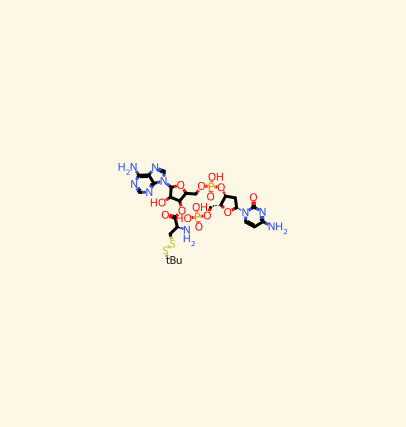 CC(C)(C)SSC[C@H](N)C(=O)OC1C(COP(=O)(O)O[C@H]2C[C@H](n3ccc(N)nc3=O)O[C@@H]2COP(=O)(O)O)OC(n2cnc3c(N)ncnc32)C1O